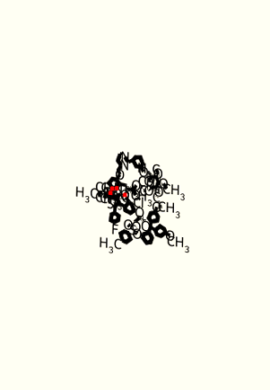 CCOC(=O)[C@@H](Cc1cc(O[Si](C)(C)C(C)(C)C)ccc1OCc1ccnc(-c2cccc(OC[C@H]3O[C@H](OC)[C@@H](OC)[C@@H](OC)[C@@H]3OC)c2)n1)Oc1ncnc2sc(-c3ccc(F)cc3)c(-c3ccc(O[C@H](COC(c4ccccc4)(c4ccc(OC)cc4)c4ccc(OC)cc4)COS(=O)(=O)c4ccc(C)cc4)c(Cl)c3C)c12